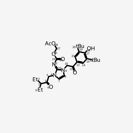 CCC(CC)C(=O)Cn1ccn(CC(=O)c2cc(C(C)(C)C)c(O)c(C(C)(C)C)c2)/c1=N\C(=O)OCOC(C)=O